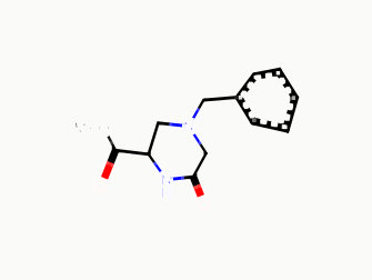 COC(=O)C1CN(Cc2ccccc2)CC(=O)N1